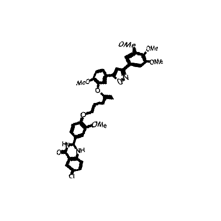 C=C(CCCOc1ccc(C2NC(=O)c3cc(Cl)ccc3N2)cc1OC)Oc1cc(-c2cc(-c3cc(OC)c(OC)c(OC)c3)no2)ccc1OC